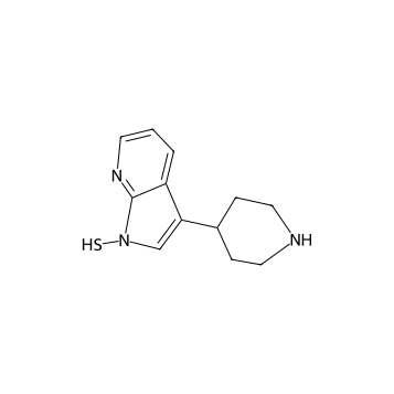 Sn1cc(C2CCNCC2)c2cccnc21